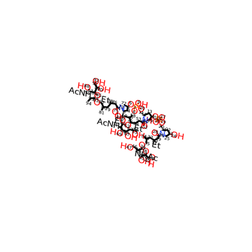 CCOC[C@@H]1C[C@@H](OP(=O)(O)OC[C@@H]2C[C@@H](OP(=O)(O)OC[C@@H]3C[C@@H](O)CN3C(=O)CC(CC)CC(C)COC(OC(CO)[C@@H](C)O)[C@H](CO)NC(C)=O)CN2C(=O)CC(CC)CC(C)COC2OC(CO)C(O)C(O)C2NC(C)=O)CN1C(=O)CC(CC)CC(C)COC(OC(CO)[C@H](O)CO)[C@H](C)NC(C)=O